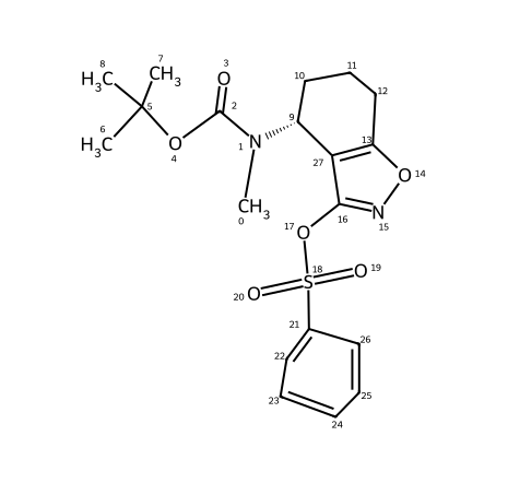 CN(C(=O)OC(C)(C)C)[C@@H]1CCCc2onc(OS(=O)(=O)c3ccccc3)c21